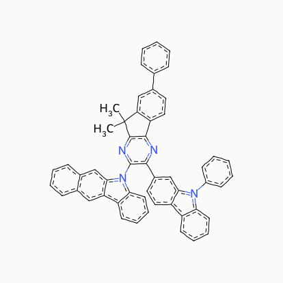 CC1(C)c2cc(-c3ccccc3)ccc2-c2nc(-c3ccc4c5ccccc5n(-c5ccccc5)c4c3)c(-n3c4ccccc4c4cc5ccccc5cc43)nc21